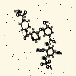 COc1c(NC(=O)c2ccc(Cl)c(Oc3cc(C(=O)N4CCN(C(=O)OC(C)(C)C)CC4)ncn3)c2)cc(C(C)(C)C)cc1NS(C)(=O)=O